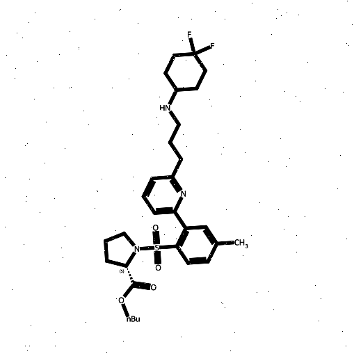 CCCCOC(=O)[C@@H]1CCCN1S(=O)(=O)c1ccc(C)cc1-c1cccc(CCCNC2CCC(F)(F)CC2)n1